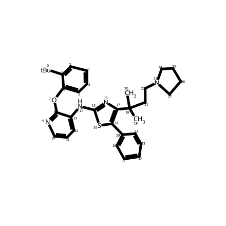 CC(C)(C)c1ccccc1Oc1ncccc1Nc1nc(C(C)(C)CCN2CCCC2)c(-c2ccccc2)s1